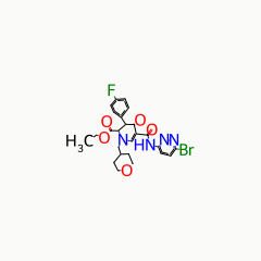 CCOC(=O)C1C(c2ccc(F)cc2)C(=O)C(C(=O)Nc2ccc(Br)nn2)=CN1CC1CCOCC1